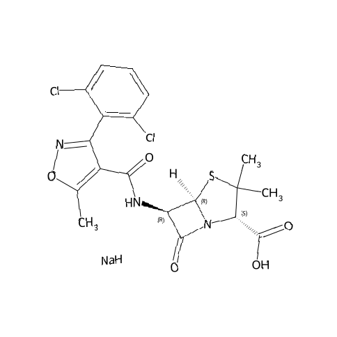 Cc1onc(-c2c(Cl)cccc2Cl)c1C(=O)N[C@@H]1C(=O)N2[C@@H]1SC(C)(C)[C@@H]2C(=O)O.[NaH]